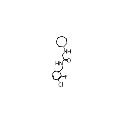 O=C(CNC1CCCCCC1)NCc1cccc(Cl)c1F